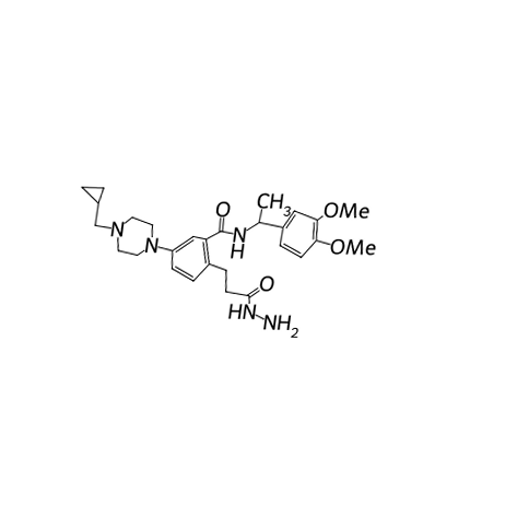 COc1ccc(C(C)NC(=O)c2cc(N3CCN(CC4CC4)CC3)ccc2CCC(=O)NN)cc1OC